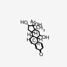 CC(=O)[C@@]1(O)C(O)C[C@H]2[C@@H]3CCC4=CC(=O)C=C[C@]4(C)[C@H]3C(O)C[C@@]21C